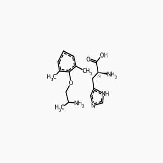 Cc1cccc(C)c1OCC(C)N.N[C@@H](Cc1cnc[nH]1)C(=O)O